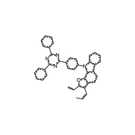 C=Cc1oc2c(ccc3c4ccccc4n(-c4ccc(-c5nc(-c6ccccc6)nc(-c6ccccc6)n5)cc4)c32)c1/C=C\C